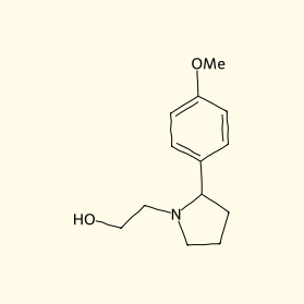 COc1ccc(C2CCCN2CCO)cc1